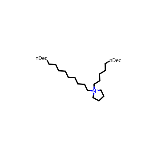 CCCCCCCCCCCCCCCCCCC[N+]1(CCCCCCCCCCCCCCC)CCCC1